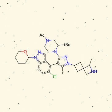 CC(=O)N1CCN(c2nn(C3CC4(CNC4C)C3)c(C)c2-c2c(Cl)ccc3c2cnn3C2CCCCO2)C(C(C)(C)C)C1